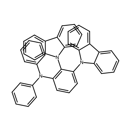 c1ccc(N(c2ccccc2)c2cccc(-n3c4ccccc4c4ccccc43)c2-n2c3ccccc3c3ccccc32)cc1